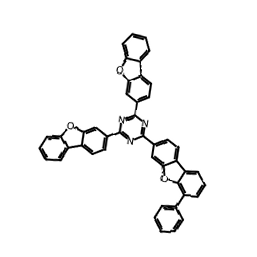 c1ccc(-c2cccc3c2oc2cc(-c4nc(-c5ccc6c(c5)oc5ccccc56)nc(-c5ccc6c(c5)oc5ccccc56)n4)ccc23)cc1